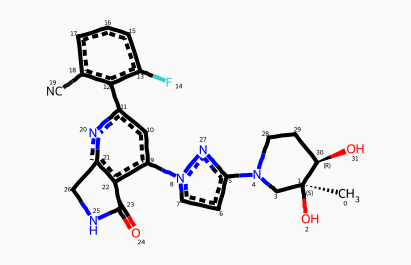 C[C@]1(O)CN(c2ccn(-c3cc(-c4c(F)cccc4C#N)nc4c3C(=O)NC4)n2)CC[C@H]1O